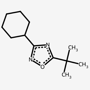 CC(C)(C)c1nc(C2CCCCC2)no1